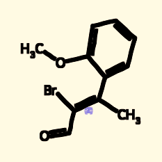 COc1ccccc1/C(C)=C(\Br)C=O